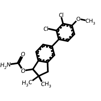 COc1ccc(-c2ccc3c(c2)CC(C)(C)C3OC(N)=O)c(Cl)c1Cl